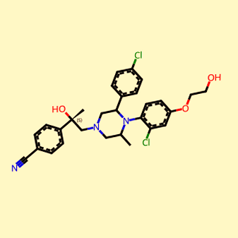 CC1CN(C[C@@](C)(O)c2ccc(C#N)cc2)CC(c2ccc(Cl)cc2)N1c1ccc(OCCO)cc1Cl